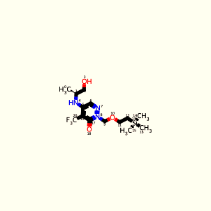 C[C@H](CO)Nc1cnn(COCC[Si](C)(C)C)c(=O)c1C(F)(F)F